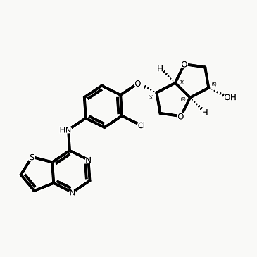 O[C@H]1CO[C@H]2[C@@H]1OC[C@@H]2Oc1ccc(Nc2ncnc3ccsc23)cc1Cl